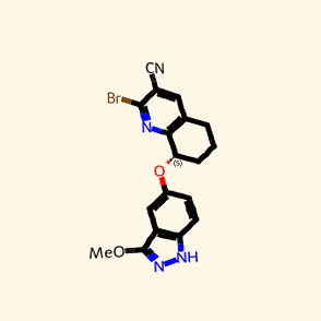 COc1n[nH]c2ccc(O[C@H]3CCCc4cc(C#N)c(Br)nc43)cc12